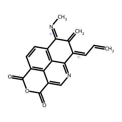 C=C/C=C1\C(=C)/C(=N\C)c2ccc3c4c(cnc1c24)C(=O)OC3=O